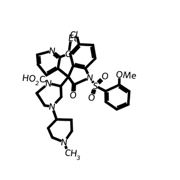 CCOc1ncccc1C1(C2CN(C3CCN(C)CC3)CCN2C(=O)O)C(=O)N(S(=O)(=O)c2ccccc2OC)c2ccc(Cl)cc21